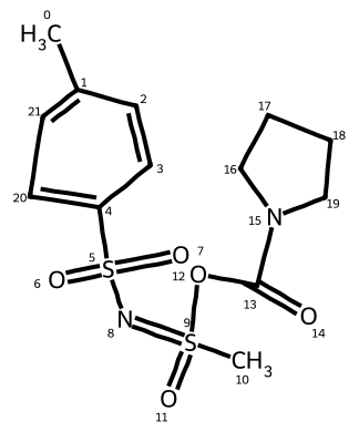 Cc1ccc(S(=O)(=O)N=S(C)(=O)OC(=O)N2CCCC2)cc1